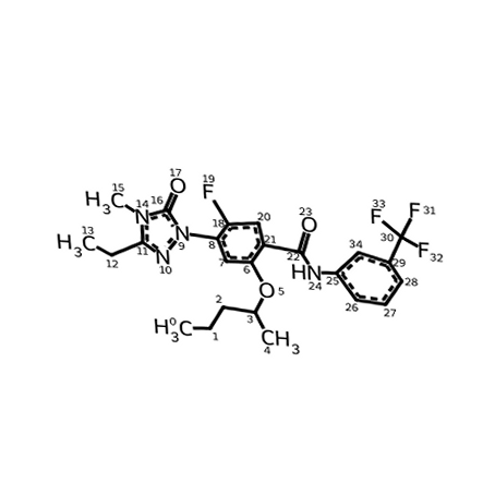 CCCC(C)Oc1cc(-n2nc(CC)n(C)c2=O)c(F)cc1C(=O)Nc1cccc(C(F)(F)F)c1